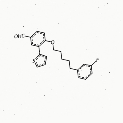 O=Cc1ccc(OCCCCCc2cccc(F)c2)c(-c2cccs2)c1